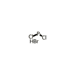 Br.Cl[P]Cl